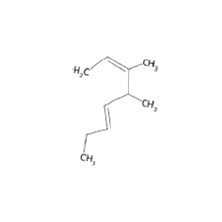 [CH2]C=C(C)C(C)C=CCC